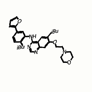 CCC(C)c1ccc(-c2ccco2)cc1Nc1ncnc2cc(OCCN3CCOCC3)c(C(C)CC)cc12